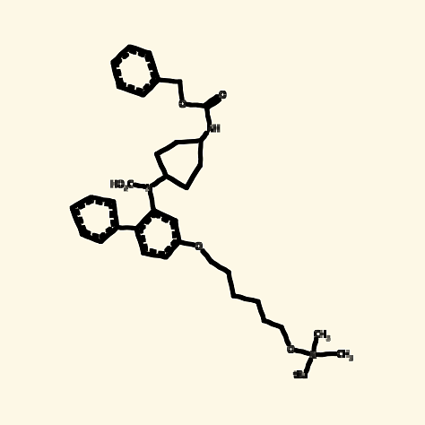 CC(C)(C)[Si](C)(C)OCCCCCCOc1ccc(-c2ccccc2)c(N(C(=O)O)C2CCC(NC(=O)OCc3ccccc3)CC2)c1